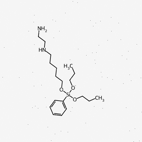 CCCO[Si](OCCC)(OCCCCCNCCN)c1ccccc1